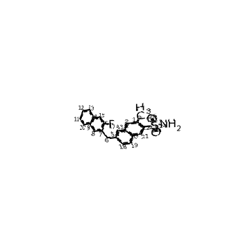 Cc1cc2cc(Cc3cc4ccccc4cc3F)ccc2cc1S(N)(=O)=O